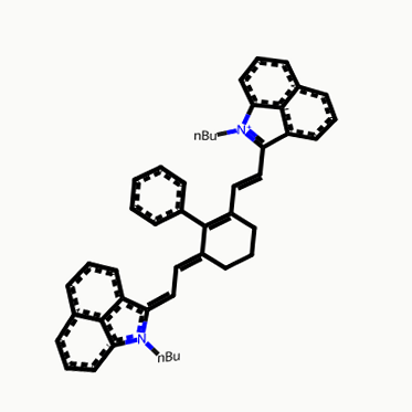 CCCCn1/c(=C/C=C2\CCCC(/C=C/C3=[N+](CCCC)c4cccc5cccc3c45)=C2c2ccccc2)c2cccc3cccc1c32